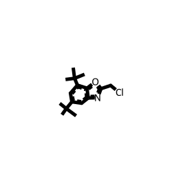 CC(C)(C)c1cc(C(C)(C)C)c2oc(CCl)nc2c1